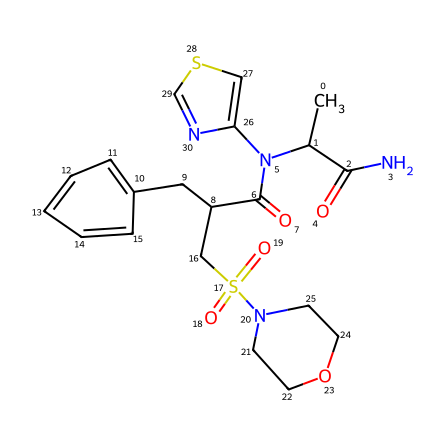 CC(C(N)=O)N(C(=O)C(Cc1ccccc1)CS(=O)(=O)N1CCOCC1)c1cscn1